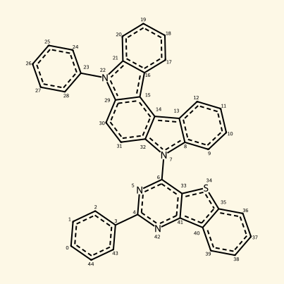 c1ccc(-c2nc(-n3c4ccccc4c4c5c6ccccc6n(-c6ccccc6)c5ccc43)c3sc4ccccc4c3n2)cc1